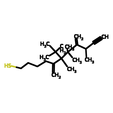 C#CC(C)C(=C)C(C)(C)C(C)(C(=C)CCCCS)C(C)(C)C